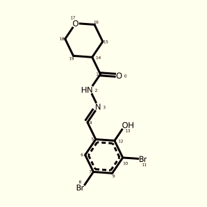 O=C(NN=Cc1cc(Br)cc(Br)c1O)C1CCOCC1